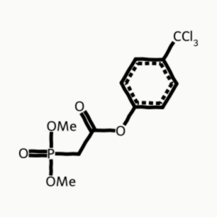 COP(=O)(CC(=O)Oc1ccc(C(Cl)(Cl)Cl)cc1)OC